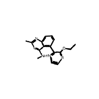 CCOc1nccnc1-c1cccc2nc(C)nc(NC)c12